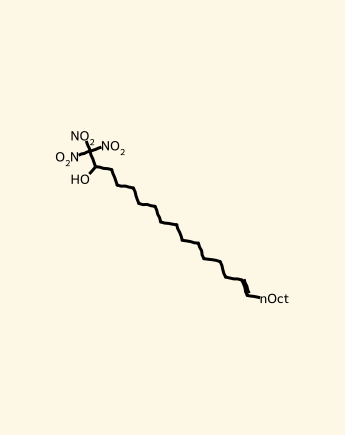 CCCCCCCCC=CCCCCCCCCCCCCC(O)C([N+](=O)[O-])([N+](=O)[O-])[N+](=O)[O-]